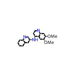 COc1cc2nccc(Nc3cnc4ccccc4c3)c2cc1OC